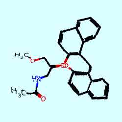 COCCOc1ccc2ccccc2c1Cc1c(OCCNC(C)=O)ccc2ccccc12